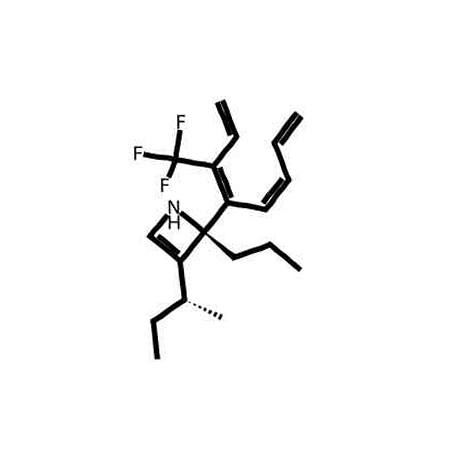 C=C/C=C\C(=C(/C=C)C(F)(F)F)[C@@]1(CCC)NC=C1[C@H](C)CC